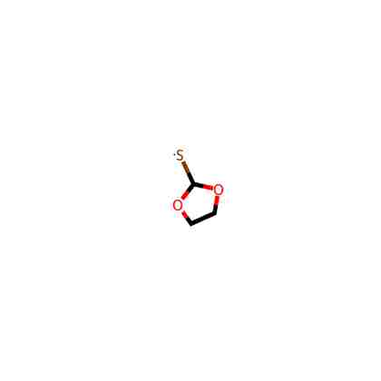 [S]C1OCCO1